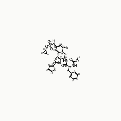 COC(=O)NC(Cc1ccccc1)C(=O)NC(CC1C=CC(NS(=O)(=O)OC2CC2)=CC1C)c1csc(-c2cccs2)n1